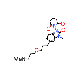 CNCCCOCCCc1ccc2c(c1)n(C)c(=O)n2N1C(=O)CCCC1=O